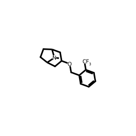 CN1C2CCC1CC(OCc1ccccc1C(F)(F)F)C2